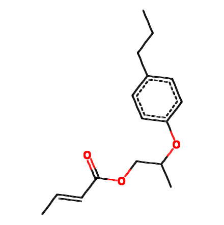 CC=CC(=O)OCC(C)Oc1ccc(CCC)cc1